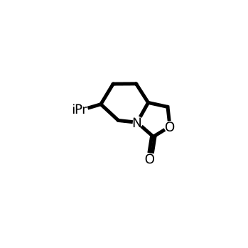 CC(C)C1CCC2COC(=O)N2C1